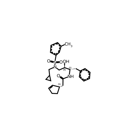 Cc1cccc(S(=O)(=O)N(CC2CC2)C[C@@H](O)[C@H](Cc2ccccc2)NC(=O)C[C@H]2C=CCC2)c1